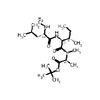 CC[C@H](C)[C@H](NC(=O)[C@H](CC(C)C)NC)C(=O)N(C)[C@@H](C)C(=O)OC(C)(C)C